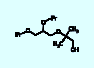 CC(C)OCC(COC(C)(C)CO)OC(C)C